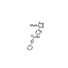 CNc1c(-c2ccc(NC(=O)C34CC(c5ccccc5)(C3)C4)cn2)nnn1C